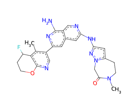 Cc1c(-c2cc3cc(Nc4cc5n(n4)CC(=O)N(C)CC5)ncc3c(N)n2)cnc2c1C(F)CCO2